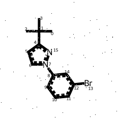 CC(C)(C)c1ccn(-c2cccc(Br)c2)n1